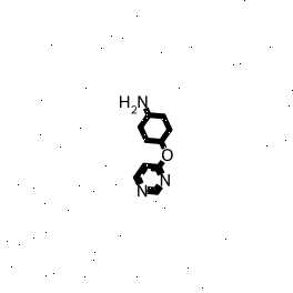 NC1CCC(Oc2ccncn2)CC1